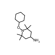 CC1(C)CC(N)CC(C)(C)N1OC1CCCCC1